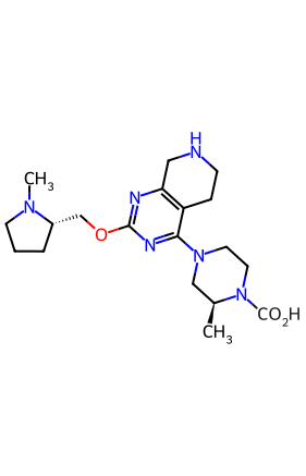 C[C@H]1CN(c2nc(OC[C@@H]3CCCN3C)nc3c2CCNC3)CCN1C(=O)O